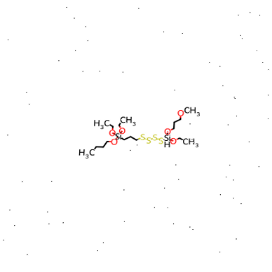 CCCCO[Si](CCCSSSS[SiH](OCC)OCCCOC)(OCC)OCC